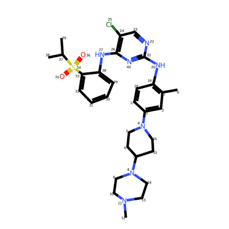 Cc1cc(N2CCC(N3CCN(C)CC3)CC2)ccc1Nc1ncc(Cl)c(Nc2ccccc2S(=O)(=O)C(C)C)n1